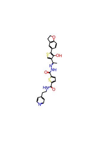 C/C(=N\NC(=O)c1ccc(C(=O)NCCc2ccncc2)s1)c1csc(-c2ccc3c(c2)CCO3)c1O